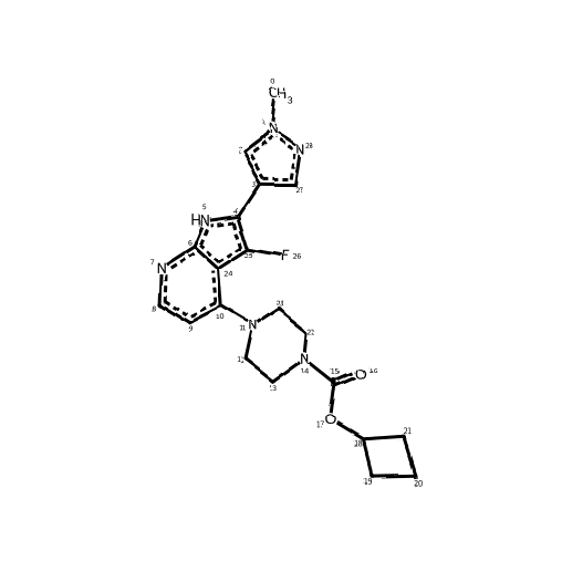 Cn1cc(-c2[nH]c3nccc(N4CCN(C(=O)OC5CCC5)CC4)c3c2F)cn1